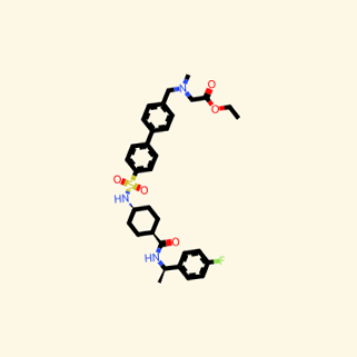 CCOC(=O)CN(C)Cc1ccc(-c2ccc(S(=O)(=O)N[C@H]3CC[C@H](C(=O)N[C@H](C)c4ccc(F)cc4)CC3)cc2)cc1